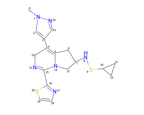 Cn1cc(C2=C3CC(NSC4CC4)CN3C(c3nccs3)=NC2)cn1